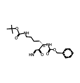 CC(C)(C)OC(=O)NCCCC[C@H](NC(=O)OCc1ccccc1)C(=O)C=N